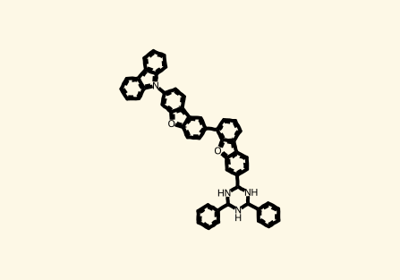 c1ccc(C2NC(c3ccccc3)NC(c3ccc4c(c3)oc3c(-c5ccc6oc7cc(-n8c9ccccc9c9ccccc98)ccc7c6c5)cccc34)N2)cc1